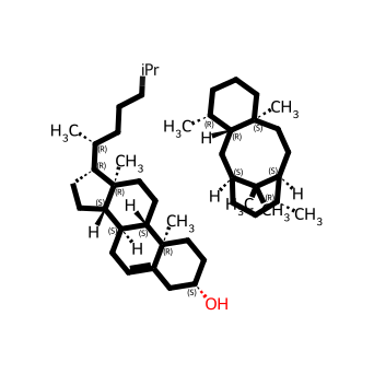 CC(C)CCC[C@@H](C)[C@H]1CC[C@H]2[C@@H]3CC=C4C[C@@H](O)CC[C@]4(C)[C@H]3CC[C@]12C.C[C@@H]1CCC[C@@]2(C)CC[C@H]3[C@H](C)CC[C@@H](C[C@H]12)C3(C)C